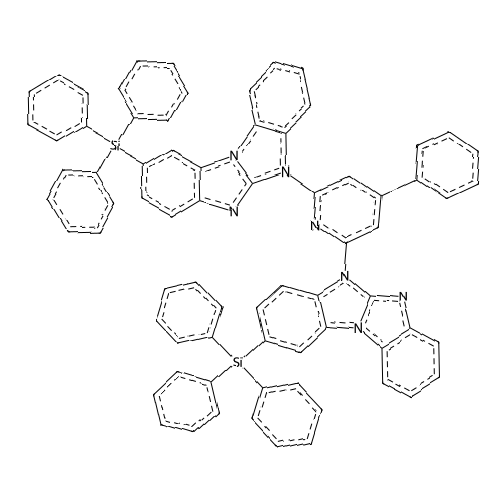 c1ccc(-c2cc(-n3c4ccccc4n4c5cc([Si](c6ccccc6)(c6ccccc6)c6ccccc6)ccc5nc34)nc(-n3c4ccc([Si](c5ccccc5)(c5ccccc5)c5ccccc5)cc4n4c5ccccc5nc34)c2)cc1